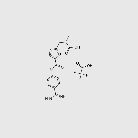 CC(Cc1ccc(C(=O)Oc2ccc(C(=N)N)cc2)o1)C(=O)O.O=C(O)C(F)(F)F